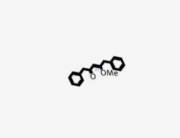 CO/C(=C\C(=O)Cc1ccccc1)Cc1ccccc1